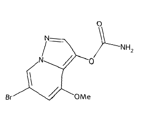 COc1cc(Br)cn2ncc(OC(N)=O)c12